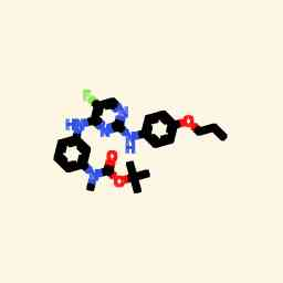 CCCOc1ccc(Nc2ncc(F)c(Nc3cccc(N(C)C(=O)OC(C)(C)C)c3)n2)cc1